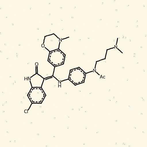 CC(=O)N(CCCN(C)C)c1ccc(NC(=C2C(=O)Nc3cc(Cl)ccc32)c2ccc3c(c2)OCCN3C)cc1